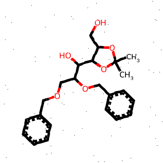 CC1(C)OC(CO)C(C(O)C(COCc2ccccc2)OCc2ccccc2)O1